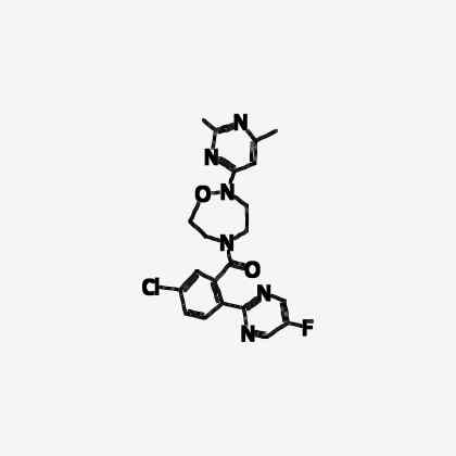 Cc1cc(N2CCN(C(=O)c3cc(Cl)ccc3-c3ncc(F)cn3)CCO2)nc(C)n1